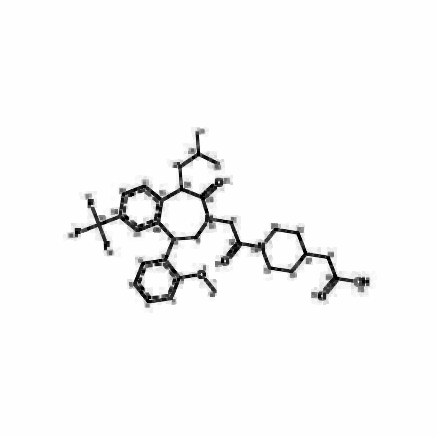 COc1ccccc1C1CN(CC(=O)N2CCC(CC(=O)O)CC2)C(=O)C(CC(C)C)c2ccc(C(F)(F)F)cc21